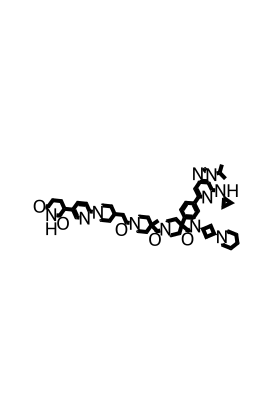 CC(C)n1cnc2cc(-c3ccc4c(c3)N([C@H]3C[C@@H](N5CCCCC5)C3)C(=O)C43CCN(C(=O)C4(C)CCN(C(=O)CC5CCN(c6ccc(C7CCC(=O)NC7=O)cn6)CC5)CC4)CC3)nc(NC3CC3)c21